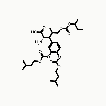 CCC(C)OC(=O)OCC(C)C(c1ccc(OC(=O)OCCC(C)C)c(OC(=O)OCCC(C)C)c1)[C@H](N)C(=O)O